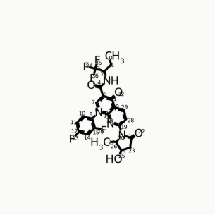 CCC(NC(=O)c1cn(-c2ccc(F)cc2F)c2nc(N3C(=O)CC(O)C3C)ccc2c1=O)C(F)(F)F